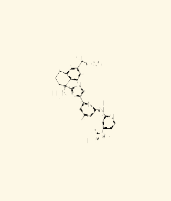 COC(=O)c1ccc2c(c1)CCCC2(N)c1ncc(-c2cc(C)cc(Nc3cc(S(=O)(=O)C(F)(F)F)ccn3)n2)s1